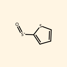 O=[S+]c1cccs1